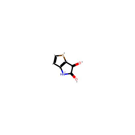 O=C1Nc2ccsc2C1=O